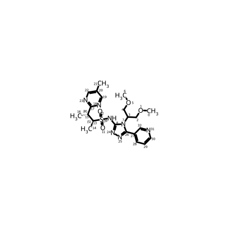 COCC(COC)n1c(NS(=O)(=O)[C@@H](C)[C@H](C)c2ncc(C)cn2)nnc1-c1cccnc1